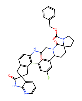 O=C(CN1C(=O)C2(CCCN2C(=O)OCc2ccccc2)CCC1c1cc(F)cc(F)c1)Nc1ccc2c(c1)CC1(C2)C(=O)Nc2ncccc21